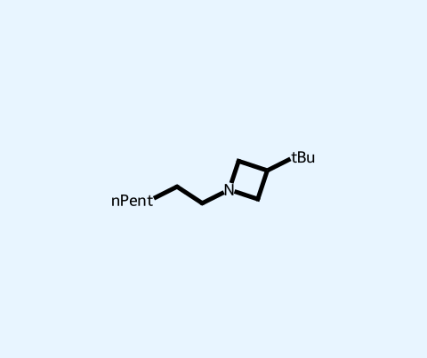 CCCCCCCN1CC(C(C)(C)C)C1